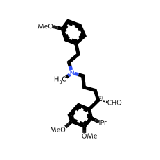 COc1cccc(CCN(C)CCC[C@H](C=O)c2ccc(OC)c(OC)c2C(C)C)c1